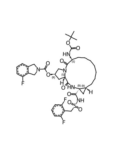 CC(C)(C)OC(=O)N[C@H]1CCCCCCC[C@@H]2C[C@@]2(C(=O)NS(=O)(=O)Cc2c(F)cccc2F)NC(=O)[C@@H]2C[C@@H](OC(=O)N3Cc4cccc(F)c4C3)CN2C1=O